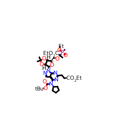 CCOC(=O)CCc1nc(N(C(=O)OC(C)(C)C)C2CCCC2)c2cnn([C@@H]3O[C@H](COC(C)(C(=O)OCC)P(C)(=O)OCC)[C@H]4OC(C)(C)O[C@H]43)c2n1